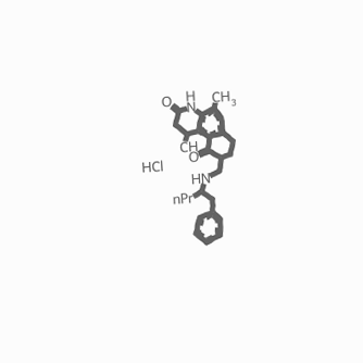 CCCC(Cc1ccccc1)NCC1CCc2cc(C)c3c(c2C1=O)C(C)CC(=O)N3.Cl